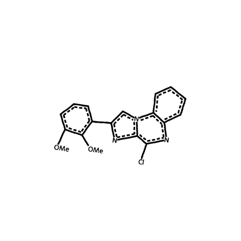 COc1cccc(-c2cn3c(n2)c(Cl)nc2ccccc23)c1OC